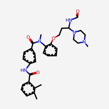 Cc1cccc(C(=O)Nc2ccc(C(=O)N(C)c3ccccc3OCCC(NC=O)N3CCN(C)CC3)cc2)c1C